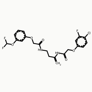 C=C(CCNC(=O)COc1cccc(OC(F)F)c1)NC(=O)COc1ccc(Cl)c(F)c1